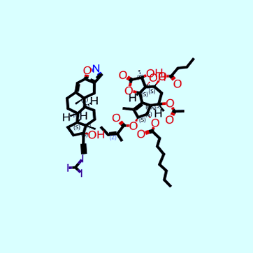 C#C[C@]1(O)CC[C@H]2[C@@H]3CCC4=Cc5oncc5C[C@]4(C)[C@H]3CC[C@@]21C.C/C=C(/C)C(=O)O[C@H]1C(C)=C2[C@H]([C@@H]1OC(=O)CCCCCCC)[C@@](C)(OC(C)=O)C[C@H](OC(=O)CCC)[C@@]1(O)[C@H]2OC(=O)[C@@]1(C)O.IC(I)I